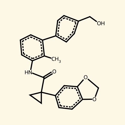 Cc1c(NC(=O)C2(c3ccc4c(c3)OCO4)CC2)cccc1-c1ccc(CO)cc1